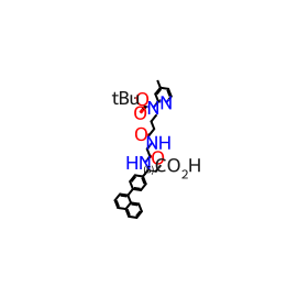 Cc1ccnc(N(CCCC(=O)NCC(=O)N[C@@H](CC(=O)O)c2ccc(-c3cccc4ccccc34)cc2)C(=O)OC(C)(C)C)c1